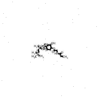 C=CC(=O)NCC(=O)OC1CCC([Si](C)(C)O[Si](C)(C)CC[Si](C)(C)C)CC1O